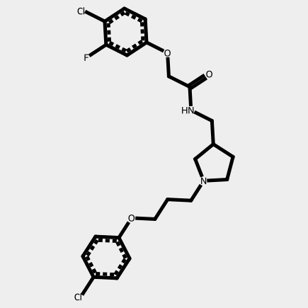 O=C(COc1ccc(Cl)c(F)c1)NCC1CCN(CCCOc2ccc(Cl)cc2)C1